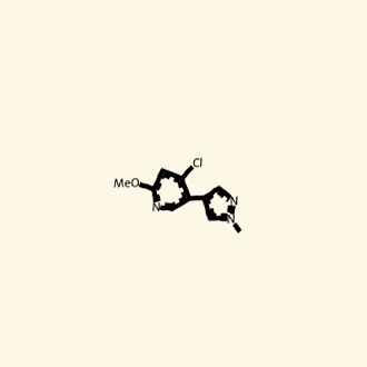 COc1cc(Cl)c(-c2cnn(C)c2)cn1